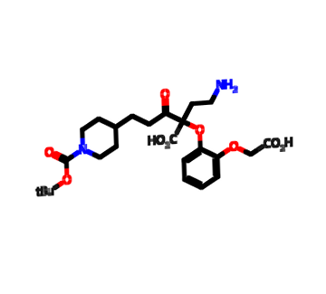 CC(C)(C)OC(=O)N1CCC(CCC(=O)C(CCN)(Oc2ccccc2OCC(=O)O)C(=O)O)CC1